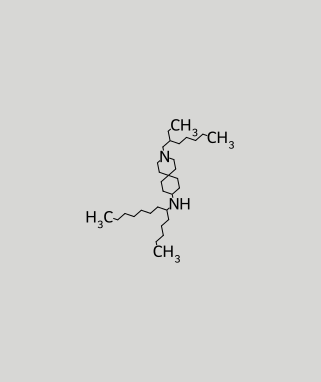 CCCCCCCC(CCCCC)NC1CCC2(CC1)CCN(CC(CC)CCCCC)CC2